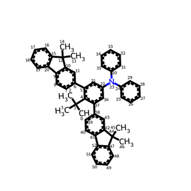 CC(C)(C)c1c(-c2ccc3c(c2)C(C)(C)c2ccccc2-3)cc(N(c2ccccc2)c2ccccc2)cc1-c1ccc2c(c1)C(C)(C)c1ccccc1-2